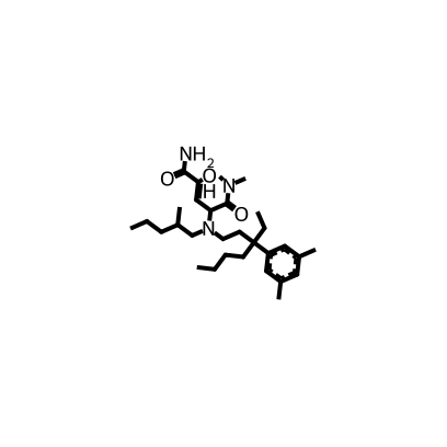 CCCCC(CC)(CCN(CC(C)CCC)C(/C=C(\O)C(N)=O)C(=O)N(C)C)c1cc(C)cc(C)c1